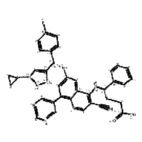 N#Cc1cnc2c(-c3cncnc3)cc(N[C@H](C3=CN(C4CC4)NN3)c3ccc(F)cc3)cc2c1N[C@H](CCC(=O)O)c1ccccc1